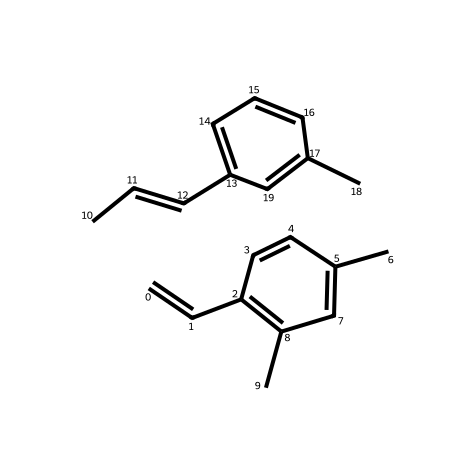 C=Cc1ccc(C)cc1C.CC=Cc1cccc(C)c1